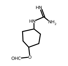 N=C(N)NC1CCC(OC=O)CC1